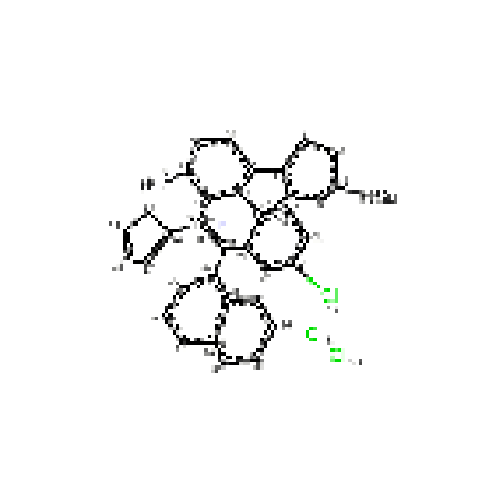 CC(C)(C)c1ccc2c(c1)Cc1c-2ccc(C(C)(C)C)[c]1/[Zr+2]([C]1=CC=CC1)=[C](\c1cccc(Cl)c1)c1cccc2ccccc12.[Cl-].[Cl-]